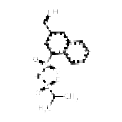 C=Cc1cc(S(=O)(=O)NS(=O)(=O)C(C)C)c2ccccc2c1